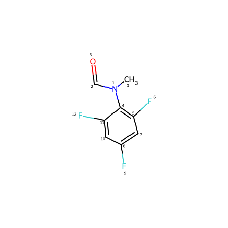 CN(C=O)c1c(F)cc(F)cc1F